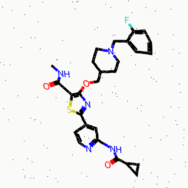 CNC(=O)c1sc(-c2ccnc(NC(=O)C3CC3)c2)nc1OCC1CCN(Cc2ccccc2F)CC1